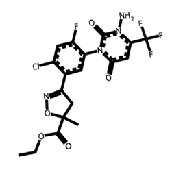 CCOC(=O)C1(C)CC(c2cc(-n3c(=O)cc(C(F)(F)F)n(N)c3=O)c(F)cc2Cl)=NO1